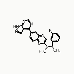 C[C@H](c1cccc(F)c1)N(C)c1cnc2cc(-c3ncnc4[nH]ncc34)ccc2n1